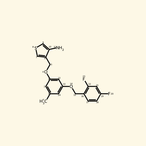 Cc1cc(OCc2cscc2N)cc(OCc2ccc(F)cc2F)c1